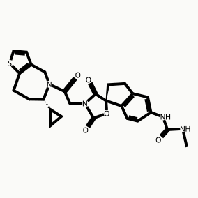 CNC(=O)Nc1ccc2c(c1)CC[C@]21OC(=O)N(CC(=O)N2Cc3ccsc3CC[C@H]2C2CC2)C1=O